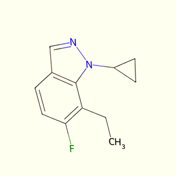 CCc1c(F)ccc2cnn(C3CC3)c12